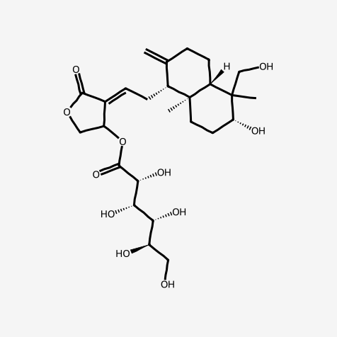 C=C1CC[C@@H]2C(C)(CO)[C@H](O)CC[C@@]2(C)[C@@H]1C/C=C1/C(=O)OCC1OC(=O)[C@H](O)[C@@H](O)[C@H](O)[C@H](O)CO